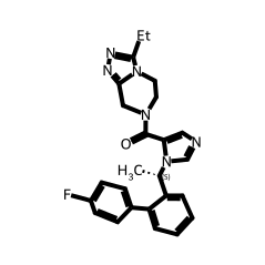 CCc1nnc2n1CCN(C(=O)c1cncn1[C@@H](C)c1ccccc1-c1ccc(F)cc1)C2